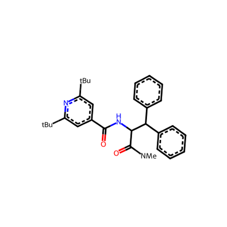 CNC(=O)C(NC(=O)c1cc(C(C)(C)C)nc(C(C)(C)C)c1)C(c1ccccc1)c1ccccc1